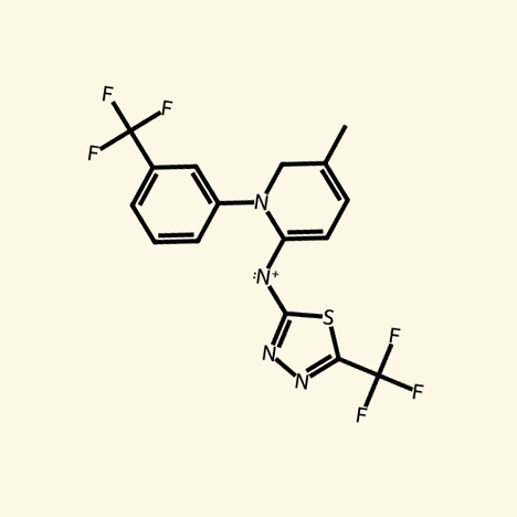 CC1=CC=C([N+]c2nnc(C(F)(F)F)s2)N(c2cccc(C(F)(F)F)c2)C1